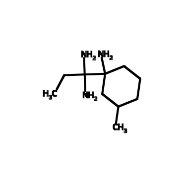 CCC(N)(N)C1(N)CCCC(C)C1